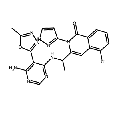 Cc1nnc(-c2c(N)ncnc2NC(C)c2cc3c(Cl)cccc3c(=O)n2-c2cc[nH]n2)o1